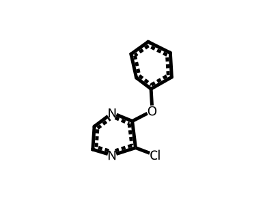 Clc1nccnc1Oc1ccccc1